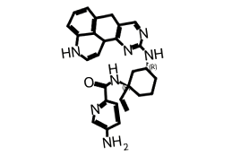 C=C[C@@]1(NC(=O)c2ccc(N)cn2)CCC[C@@H](Nc2ncc3c(n2)C2C=CNc4cccc(c42)C3)C1